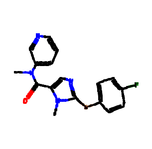 CN(C(=O)c1cnc(Sc2ccc(F)cc2)n1C)c1cccnc1